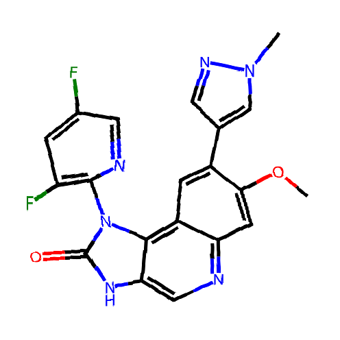 COc1cc2ncc3[nH]c(=O)n(-c4ncc(F)cc4F)c3c2cc1-c1cnn(C)c1